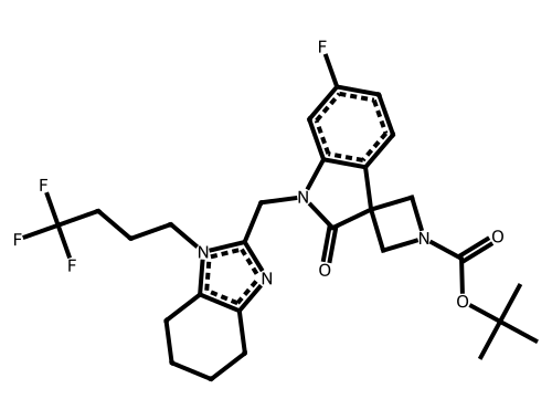 CC(C)(C)OC(=O)N1CC2(C1)C(=O)N(Cc1nc3c(n1CCCC(F)(F)F)CCCC3)c1cc(F)ccc12